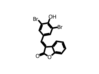 O=C1Oc2ccccc2/C1=C\c1cc(Br)c(O)c(Br)c1